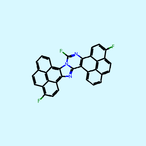 Fc1ccc2c3nc(F)n4c(nc5c6ccc(F)c7ccc8cccc(c8c76)c54)c3c3cccc4ccc1c2c43